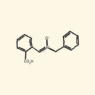 O=C(O)c1ccccc1/C=[N+](\[O-])Cc1ccccc1